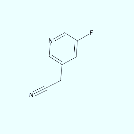 N#CCc1cncc(F)c1